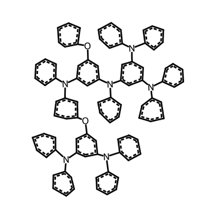 c1ccc(Oc2cc(N(c3ccccc3)c3cccc(Oc4cc(N(c5ccccc5)c5ccccc5)cc(N(c5ccccc5)c5ccccc5)c4)c3)cc(N(c3ccccc3)c3cc(N(c4ccccc4)c4ccccc4)cc(N(c4ccccc4)c4ccccc4)c3)c2)cc1